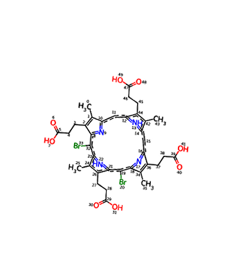 CC1=C(CCC(=O)O)c2nc1cc1[nH]c(cc3nc(c(Br)c4[nH]c(c(C)c4CCC(=O)O)c2Br)C(C)=C3CCC(=O)O)c(C)c1CCC(=O)O